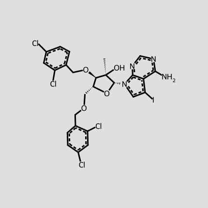 C[C@@]1(O)[C@H](OCc2ccc(Cl)cc2Cl)[C@@H](COCc2ccc(Cl)cc2Cl)O[C@H]1n1cc(I)c2c(N)ncnc21